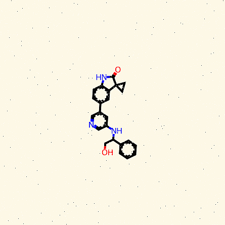 O=C1Nc2ccc(-c3cncc(NC(CO)c4ccccc4)c3)cc2C12CC2